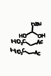 CC(=O)CC(=O)O.CC(=O)CC(=O)O.CCCCC(O)O